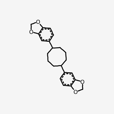 c1cc2c(cc1C1CCCC(c3ccc4c(c3)OCO4)CCC1)OCO2